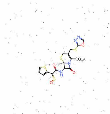 O=S=C(C(=O)NC1C(=O)N2C(C(=O)O)=C(CSc3nnco3)CS[C@H]12)c1cccs1